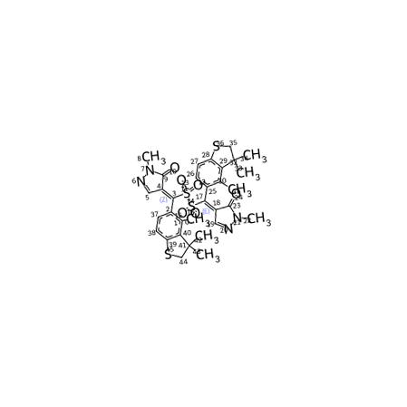 Cc1c(/C(=C2\C=NN(C)C2=O)S(=O)(=O)S(=O)(=O)/C(=C2\C=NN(C)C2=O)c2ccc3c(c2C)C(C)(C)CS3)ccc2c1C(C)(C)CS2